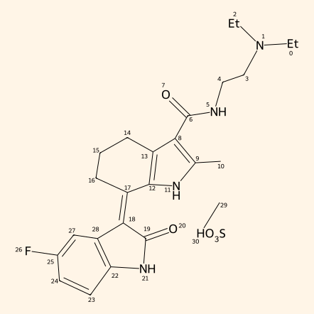 CCN(CC)CCNC(=O)c1c(C)[nH]c2c1CCCC2=C1C(=O)Nc2ccc(F)cc21.CS(=O)(=O)O